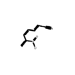 C=C(/C=C\C=C\C#N)[N+](=O)[O-]